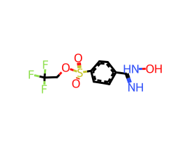 N=C(NO)c1ccc(S(=O)(=O)OCC(F)(F)F)cc1